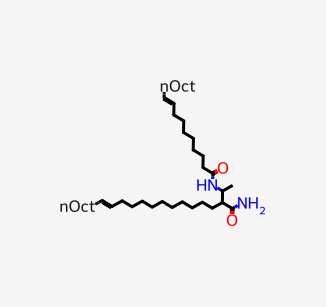 CCCCCCCCC=CCCCCCCCCCCC(C(N)=O)C(C)NC(=O)CCCCCCCC=CCCCCCCCC